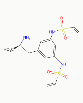 C=CS(=O)(=O)Nc1cc(C[C@H](N)C(=O)O)cc(NS(=O)(=O)C=C)c1